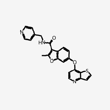 Cc1oc2cc(Oc3ccnc4ccsc34)ccc2c1C(=O)NCc1ccncc1